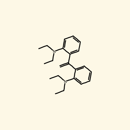 C=C(c1ccccc1N(CC)CC)c1ccccc1N(CC)CC